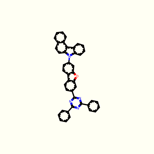 c1ccc(-c2nc(-c3ccccc3)nc(-c3ccc4c(c3)oc3cc(-n5c6ccccc6c6c7ccccc7ccc65)ccc34)n2)cc1